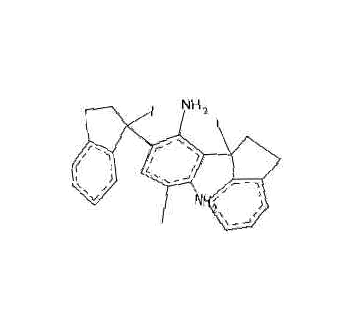 Cc1cc(C2(I)CCc3ccccc32)c(N)c(C2(I)CCc3ccccc32)c1N